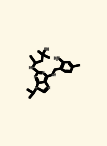 Cc1ccc(CNc2nc(NC(C)CC(C)(C)O)nc3c2ncn3C(C)C)c(N)c1